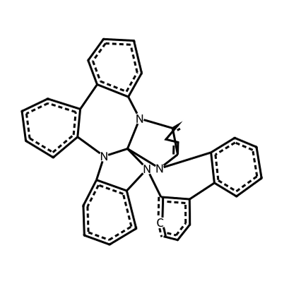 C1=C2C(=CC1)N1c3ccccc3-c3ccccc3N3c4ccccc4N4c5ccccc5-c5ccccc5N2C143